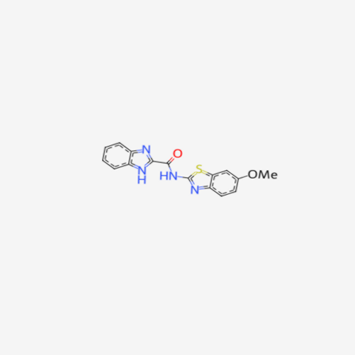 COc1ccc2nc(NC(=O)c3nc4ccccc4[nH]3)sc2c1